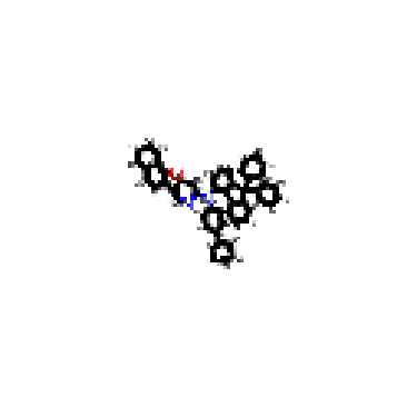 c1ccc(-c2ccc(N(c3cc4oc5c6ccccc6ccc5c4cn3)c3cccc4c3-c3ccccc3C4(c3ccccc3)c3ccccc3)cc2)cc1